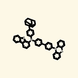 c1ccc2c(c1)Sc1ccccc1N2c1ccc(-c2ccc(N(c3ccc(C45CC6CC(CC(C6)C4)C5)cc3)c3cccc4c3sc3ccccc34)cc2)cc1